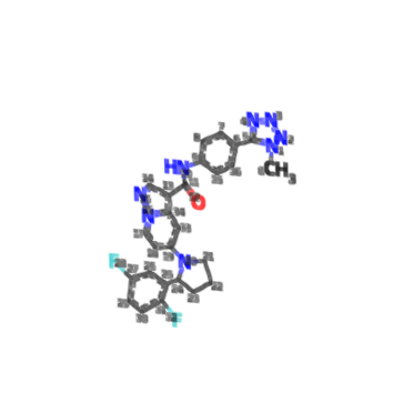 Cn1nnnc1-c1ccc(NC(=O)c2cnn3ccc(N4CCCC4c4cc(F)ccc4F)cc23)cc1